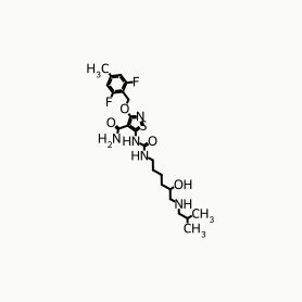 Cc1cc(F)c(COc2nsc(NC(=O)NCCCCC(O)CNCC(C)C)c2C(N)=O)c(F)c1